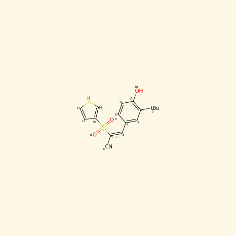 CC(C)(C)c1cc(/C=C(/C#N)S(=O)(=O)c2ccsc2)ccc1O